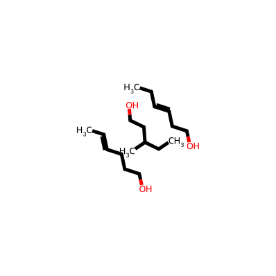 CC=CCCCO.CCC(C)CCO.CCC=CCCO